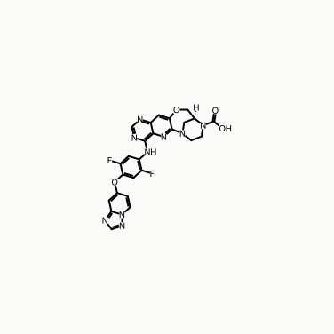 O=C(O)N1CCN2C[C@H]1COc1cc3ncnc(Nc4cc(F)c(Oc5ccn6ncnc6c5)cc4F)c3nc12